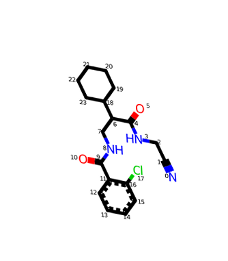 N#CCNC(=O)C(CNC(=O)c1ccccc1Cl)C1CCCCC1